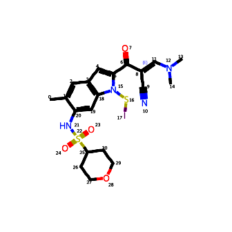 Cc1cc2cc(C(=O)/C(C#N)=C/N(C)C)n(SI)c2cc1NS(=O)(=O)C1CCOCC1